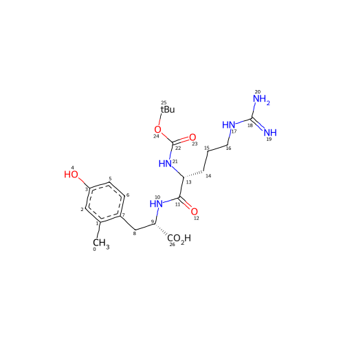 Cc1cc(O)ccc1C[C@H](NC(=O)[C@@H](CCCNC(=N)N)NC(=O)OC(C)(C)C)C(=O)O